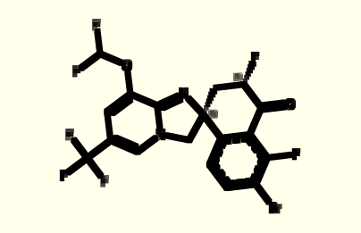 O=C1c2c(ccc(Br)c2F)[C@@]2(C[C@@H]1F)CN1C=C(C(F)(F)F)C=C(OC(F)F)C1=N2